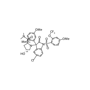 COc1ccc(S(=O)(=O)N2C(=O)C(c3cc(OC)ccc3OC)(N3C[C@H](O)C[C@H]3C(=O)N(C)C)c3cc(Cl)ccc32)c(OC(F)(F)F)c1